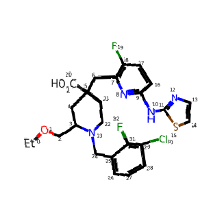 CCOCC1CC(Cc2nc(Nc3nccs3)ccc2F)(C(=O)O)CCN1Cc1cccc(Cl)c1F